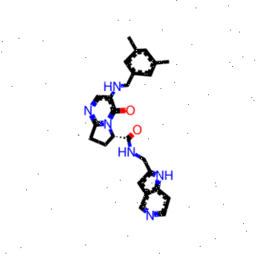 Cc1cc(C)cc(CNc2cnc3n(c2=O)[C@H](C(=O)NCc2cc4cnccc4[nH]2)CC3)c1